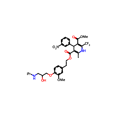 COC(=O)C1=C(C(F)(F)F)NC(C)=C(C(=O)OCCc2ccc(OCC(O)CNC(C)C)c(OC)c2)C1c1cccc([N+](=O)[O-])c1